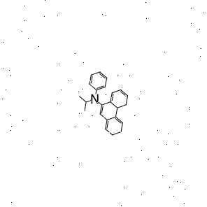 CC(C)N(C1=CC2=CCCC=C2C2CC=CC=C12)c1ccccc1